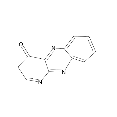 O=C1CC=Nc2nc3ccccc3nc21